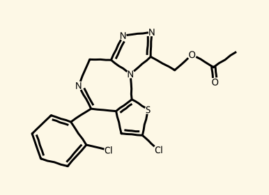 CC(=O)OCc1nnc2n1-c1sc(Cl)cc1C(c1ccccc1Cl)=NC2